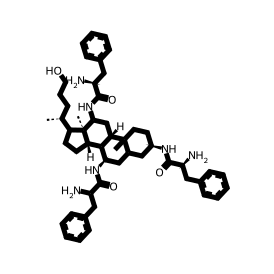 C[C@H](CCCO)C1CC[C@H]2C3[C@H](NC(=O)C(N)Cc4ccccc4)CC4C[C@H](NC(=O)[C@@H](N)Cc5ccccc5)CCC4(C)[C@H]3CC(NC(=O)[C@@H](N)Cc3ccccc3)[C@]12C